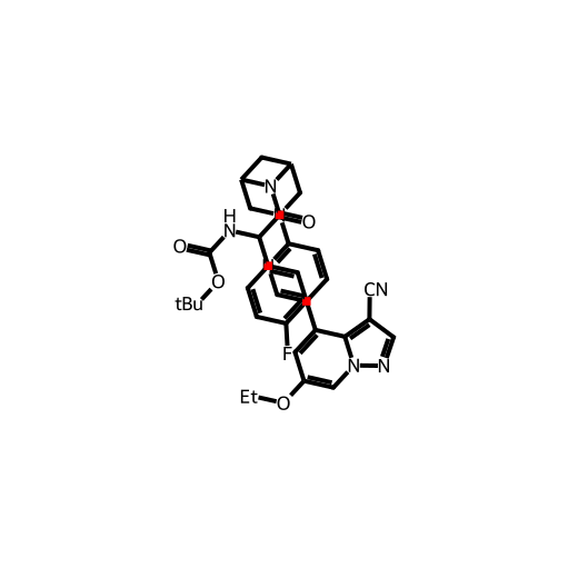 CCOc1cc(-c2ccc(N3CC4CC(C3)N4C(=O)C(NC(=O)OC(C)(C)C)c3ccc(F)cc3)nc2)c2c(C#N)cnn2c1